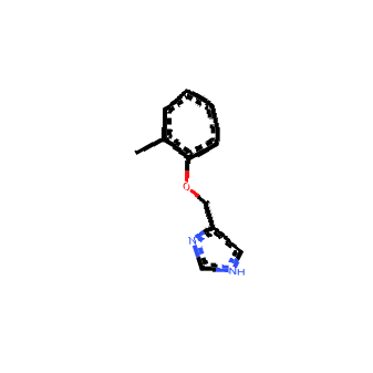 Cc1ccccc1OCc1c[nH]cn1